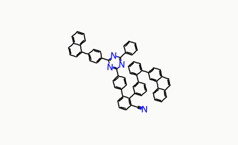 N#Cc1cccc(-c2ccc(-c3nc(-c4ccccc4)nc(-c4ccc(-c5cccc6ccccc56)cc4)n3)cc2)c1-c1cccc(-c2ccccc2-c2ccc3ccc4ccccc4c3c2)c1